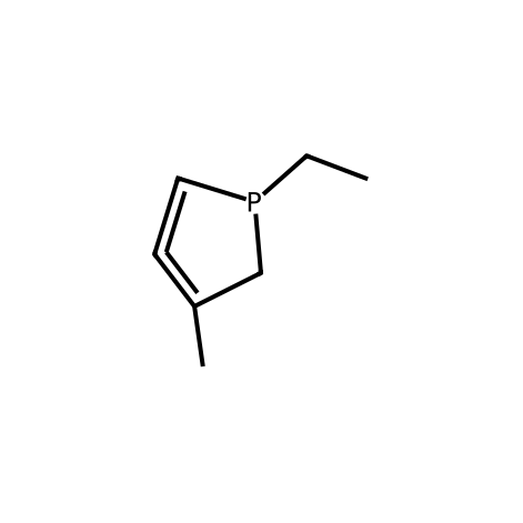 CCP1C=C=C(C)C1